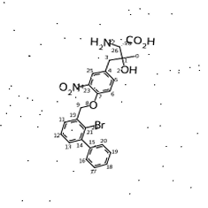 CC(O)(Cc1ccc(OCc2cccc(-c3ccccc3)c2Br)c([N+](=O)[O-])c1)[C@H](N)C(=O)O